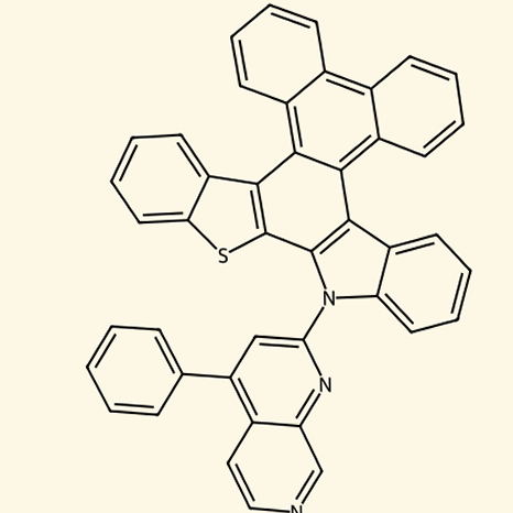 c1ccc(-c2cc(-n3c4ccccc4c4c5c6ccccc6c6ccccc6c5c5c6ccccc6sc5c43)nc3cnccc23)cc1